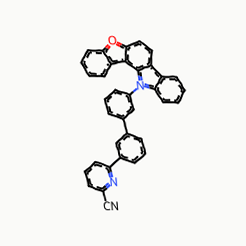 N#Cc1cccc(-c2cccc(-c3cccc(-n4c5ccccc5c5ccc6oc7ccccc7c6c54)c3)c2)n1